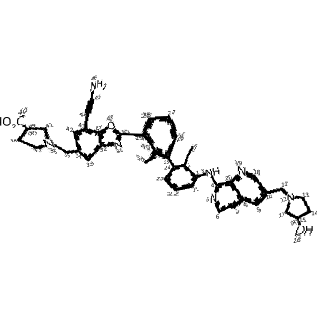 Cc1c(Nc2nccc3cc(CN4CC[C@@H](O)C4)cnc23)cccc1-c1cccc(-c2nc3cc(CN4CC[C@@H](C(=O)O)C4)cc(C#CN)c3o2)c1C